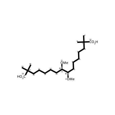 CO[C@H](CCCCCC(C)(C)C(=O)O)[C@@H](CCCCCC(C)(C)C(=O)O)OC